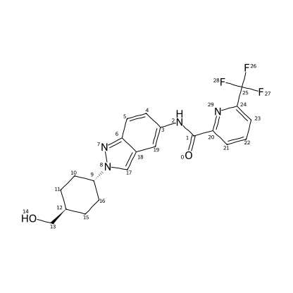 O=C(Nc1ccc2nn([C@H]3CC[C@H](CO)CC3)cc2c1)c1cccc(C(F)(F)F)n1